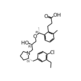 CCc1cc(C[C@@H]2CCCN2C[C@@H](O)CO[C@H](C)c2cccc(C)c2CCC(=O)O)ccc1Cl